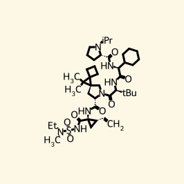 C=C[C@@H]1C[C@]1(NC(=O)[C@@H]1C[C@@]2(CN1C(=O)[C@@H](NC(=O)[C@@H](NC(=O)[C@@H]1CCCN1C(C)C)C1CCCCC1)C(C)(C)C)C(C)(C)C21CCC1)C(=O)NS(=O)(=O)N(C)CC